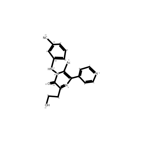 CC(=O)c1c(-c2ccncc2)nc(CCO)c(=O)n1Nc1cccc(C#N)c1